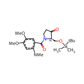 CNc1cc(OC)c(OC)cc1C(=O)N1CCC(=O)[C@H]1CO[Si](C)(C)C(C)(C)C